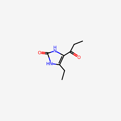 CCC(=O)c1[nH]c(=O)[nH]c1CC